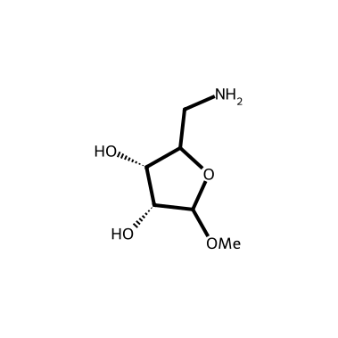 COC1OC(CN)[C@@H](O)[C@H]1O